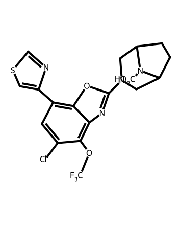 O=C(O)N1C2CCC1CN(c1nc3c(OC(F)(F)F)c(Cl)cc(-c4cscn4)c3o1)C2